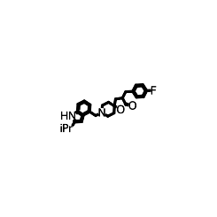 CC(C)c1cc2c(CN3CCC4(CC3)CC(Cc3ccc(F)cc3)C(=O)O4)cccc2[nH]1